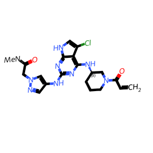 C=CC(=O)N1CCC[C@@H](Nc2nc(Nc3cnn(CC(=O)NC)c3)nc3[nH]cc(Cl)c23)C1